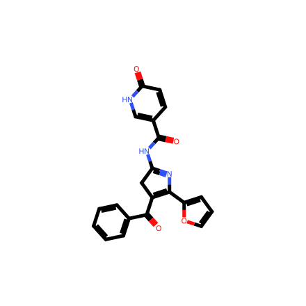 O=C(NC1=NC(c2ccco2)=C(C(=O)c2ccccc2)C1)c1ccc(=O)[nH]c1